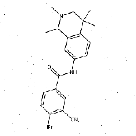 CC(C)c1ccc(C(=O)Nc2ccc3c(c2)C(C)N(C)CC3(C)C)cc1C#N